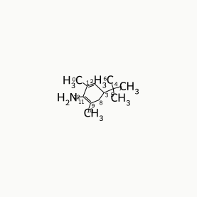 CC1=CC(C(C)(C)C)CC(C)=C1N